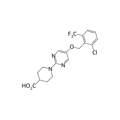 O=C(O)C1CCN(c2ncc(OCc3c(Cl)cccc3C(F)(F)F)cn2)CC1